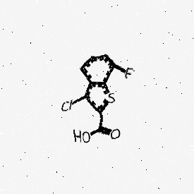 O=C(O)c1sc2c(F)cccc2c1Cl